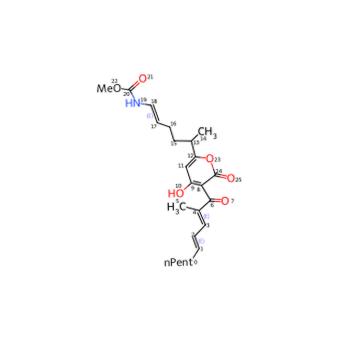 CCCCC/C=C/C=C(\C)C(=O)c1c(O)cc(C(C)CC/C=C/NC(=O)OC)oc1=O